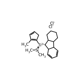 CC1=[C]([Ti+2]([CH]2C3C=CC=CC3C3CCCCC32)=[Si](C)C)CC=C1.[Cl-].[Cl-]